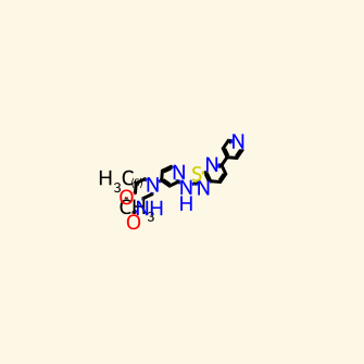 COC[C@@H](C)CN(CCNC=O)c1ccnc(Nc2nc3ccc(-c4ccncc4)nc3s2)c1